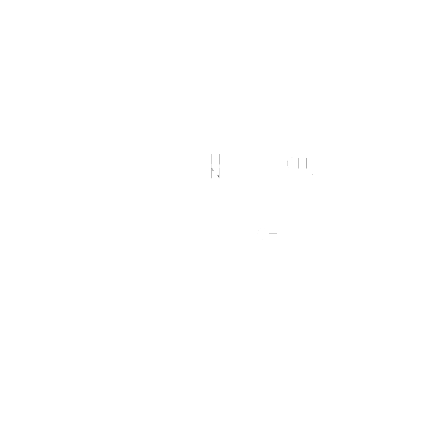 [CH2]C(C)Nc1ccccc1